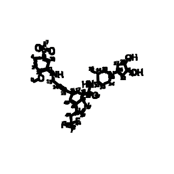 COc1ccc(S(C)(=O)=O)cc1NCC#Cc1cc(C(=O)N[C@H]2CCN(C3CC(O)C(O)C3)C[C@@H]2C)c2ncn(CC(F)(F)F)c2c1